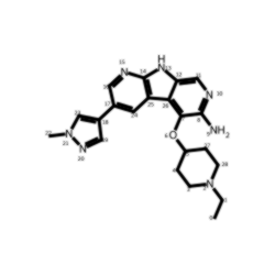 CCN1CCC(Oc2c(N)ncc3[nH]c4ncc(-c5cnn(C)c5)cc4c23)CC1